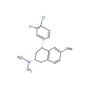 COc1ccc2c(c1)[C@@H](c1ccc(Cl)c(Cl)c1)C[C@@H](N(C)C)C2